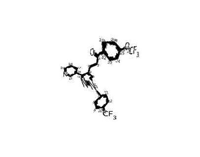 O=C(C=Cc1cn(-c2ccc(C(F)(F)F)cc2)nc1-c1cccnc1)c1ccc(OC(F)(F)F)cc1